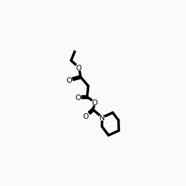 CCOC(=O)CC(=O)OC(=O)N1CCCCC1